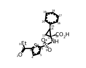 CCC(=O)c1ccc(S(=O)(=O)N[C@]2(C(=O)O)C[C@H]2c2ccccc2)s1